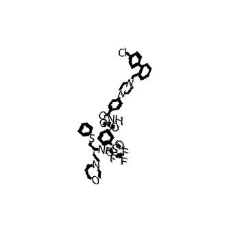 O=C(NS(=O)(=O)c1ccc(N[C@H](CCN2CCCOCC2)CSc2ccccc2)c(S(=O)(=O)C(F)(F)F)c1)c1ccc(N2CCN(CC3=C(c4ccc(Cl)cc4)CCCC3)CC2)cc1